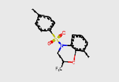 Cc1ccc(S(=O)(=O)N2CC(C(F)(F)F)Oc3c(C)cccc32)cc1